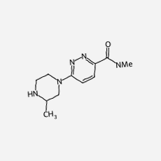 CNC(=O)c1ccc(N2CCNC(C)C2)nn1